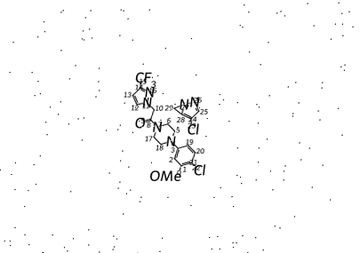 COc1cc(N2CCN(C(=O)Cn3ccc(C(F)(F)F)n3)CC2)ccc1Cl.Clc1cnn2c1C2